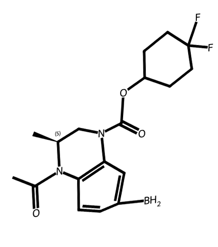 Bc1ccc2c(c1)N(C(=O)OC1CCC(F)(F)CC1)C[C@H](C)N2C(C)=O